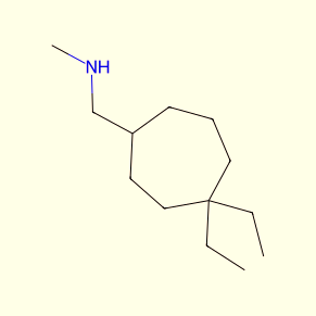 CCC1(CC)CCCC(CNC)CC1